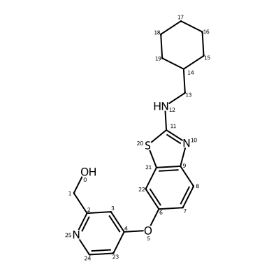 OCc1cc(Oc2ccc3nc(NCC4CCCCC4)sc3c2)ccn1